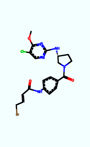 COc1nc(N[C@@H]2CCN(C(=O)c3ccc(NC(=O)/C=C/CBr)cc3)C2)ncc1Cl